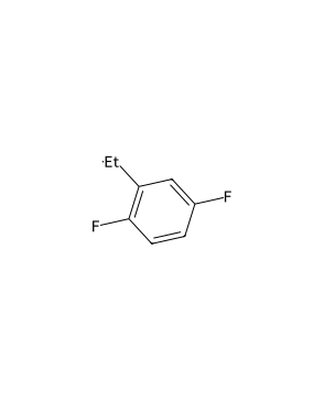 C[CH]c1cc(F)ccc1F